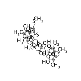 CCC(C(=O)[C@@H](C)[C@@H](O)[C@H](C)[C@@H]1O[C@@H]([C@@H](CC)C(=O)O)CC[C@@H]1C)[C@H]1O[C@]2(C=CC(NC(=S)NCCCSC)[C@]3(CC[C@@](C)([C@H]4CC[C@](O)(CC)[C@H](C)O4)O3)O2)[C@H](C)C[C@@H]1C